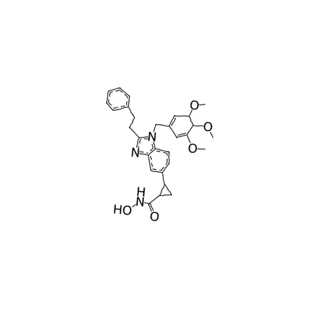 COC1=CC(Cn2c(CCc3ccccc3)nc3cc(C4CC4C(=O)NO)ccc32)=CC(OC)C1OC